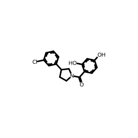 O=C(c1ccc(O)cc1O)N1CCC(c2cccc(Cl)c2)C1